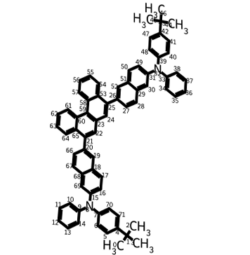 CC(C)(C)c1ccc(N(c2ccccc2)c2ccc3cc(-c4cc5cc(-c6ccc7cc(N(c8ccccc8)c8ccc(C(C)(C)C)cc8)ccc7c6)c6ccccc6c5c5ccccc45)ccc3c2)cc1